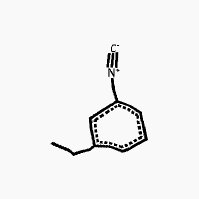 [C-]#[N+]c1cccc(CC)c1